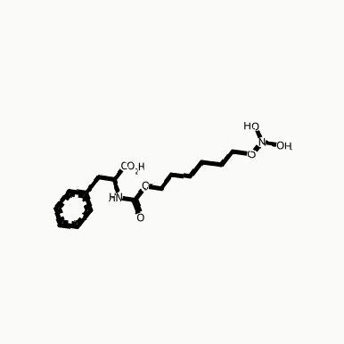 O=C(NC(Cc1ccccc1)C(=O)O)OCCCCCCON(O)O